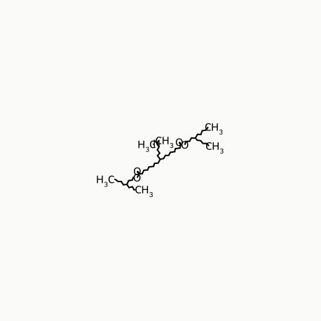 CCCCCC(CCCC)CCCOC(=O)CCCCCCCC(CCCCCCCC(=O)OCCCC(CCCCC)CCCCC)CCCCN(C)C